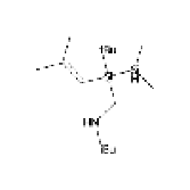 CCC(C)NC[Si](C=C(C)C)([SiH](C)C)C(C)(C)C